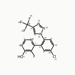 Cc1c(O)ncnc1-c1cc(Cl)ccc1-n1cc(C(F)(F)F)nn1